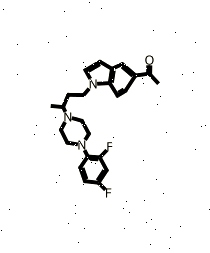 CC(=O)c1ccc2c(ccn2CCC(C)N2CCN(c3ccc(F)cc3F)CC2)c1